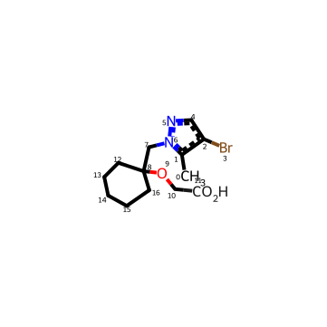 Cc1c(Br)cnn1CC1(OCC(=O)O)CCCCC1